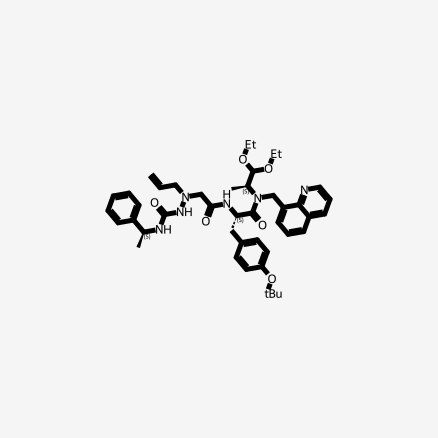 C=CCN(CC(=O)N[C@@H](Cc1ccc(OC(C)(C)C)cc1)C(=O)N(Cc1cccc2cccnc12)[C@@H](C)C(OCC)OCC)NC(=O)N[C@@H](C)c1ccccc1